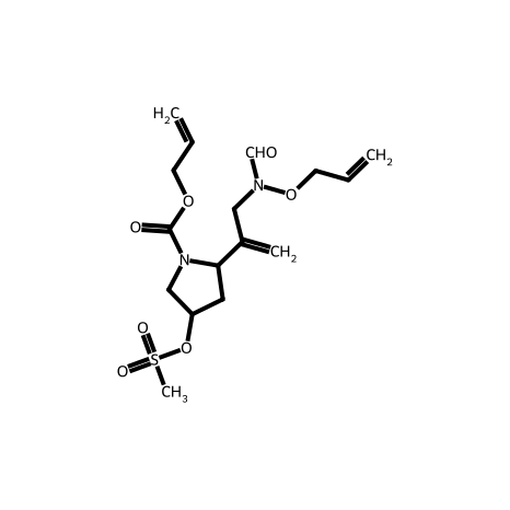 C=CCOC(=O)N1CC(OS(C)(=O)=O)CC1C(=C)CN(C=O)OCC=C